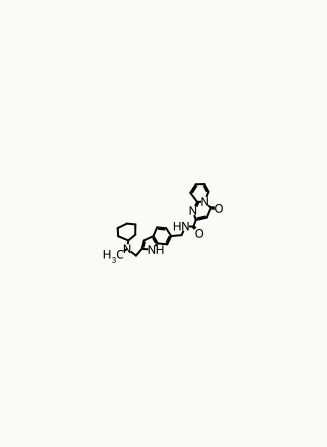 CN(Cc1cc2ccc(CNC(=O)c3cc(=O)n4ccccc4n3)cc2[nH]1)C1CCCCC1